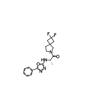 C[C@H](Nc1nnc(-c2ccccc2)o1)C(=O)N1CCC2(C1)CC(F)(F)C2